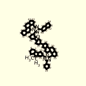 CC1(C)c2ccccc2-c2ccc(-c3nc(-c4ccccc4)nc(-c4cccc5ccc6c7ccc(-c8ccc9c(c8)oc8c(-c%10nc(-c%11ccc%12ccccc%12c%11)nc(-c%11cccc%12ccc%13c%14ccccc%14ccc%13c%11%12)n%10)cccc89)cc7ccc6c45)n3)cc21